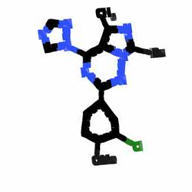 CCC(C)c1nc(C)c2c(-n3cncn3)nc(-c3ccc(OC)c(Cl)c3)nn12